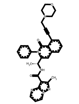 Cc1nn2cccnc2c1C(=O)N[C@H](C)c1cc2cccc(C#CCN3CCOCC3)c2c(=O)n1-c1ccccc1